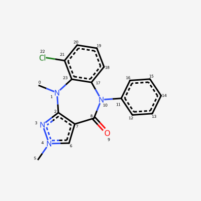 CN1c2nn(C)cc2C(=O)N(c2ccccc2)c2cccc(Cl)c21